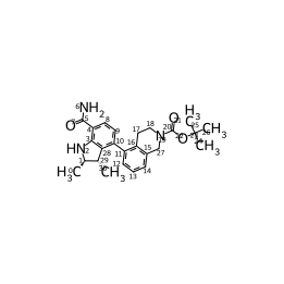 C[C@H]1Nc2c(C(N)=O)ccc(-c3cccc4c3CCN(C(=O)OC(C)(C)C)C4)c2[C@@H]1C